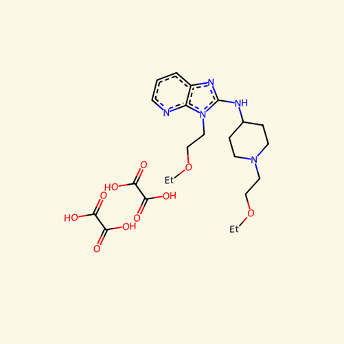 CCOCCN1CCC(Nc2nc3cccnc3n2CCOCC)CC1.O=C(O)C(=O)O.O=C(O)C(=O)O